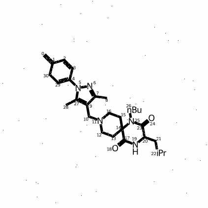 C=C1C=CC(n2nc(C)c(CN3CCC4(CC3)C(=O)NC(CC(C)C)C(=O)N4CCCC)c2C)=CC1